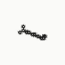 c1ccc(-c2cc(-c3ccccc3)cc(-c3ccc4cc(-c5ccc6nc(-c7ccc(-c8ccc9ccc%10cccnc%10c9n8)cc7)ccc6c5)ccc4n3)c2)cc1